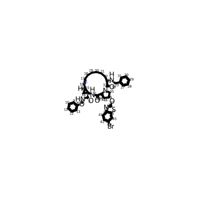 O=C1N[C@]2(C(=O)NOc3ccccc3)C[C@H]2/C=C\CCCCC[C@H](NCc2ccccc2)C(=O)N2C[C@H](Oc3nc4ccc(Br)cc4s3)C[C@@H]12